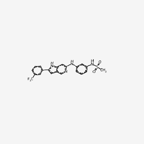 CS(=O)(=O)Nc1cccc(Nc2cc3[nH]c(-c4cccc(C(F)(F)F)c4)cc3cn2)c1